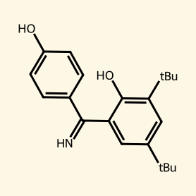 CC(C)(C)c1cc(C(=N)c2ccc(O)cc2)c(O)c(C(C)(C)C)c1